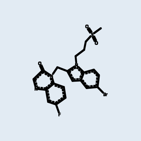 CS(=O)(=O)CCCn1c(Cn2c(=O)cnc3cc(F)ccc32)cc2cc(Br)ccc21